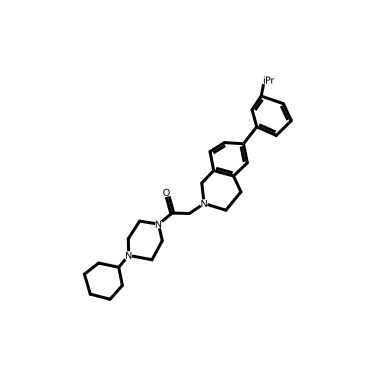 CC(C)c1cccc(-c2ccc3c(c2)CCN(CC(=O)N2CCN(C4CCCCC4)CC2)C3)c1